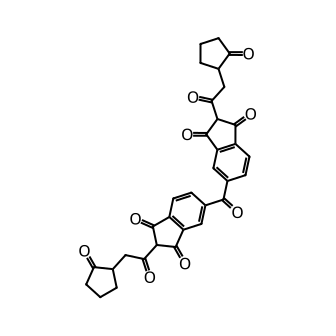 O=C(c1ccc2c(c1)C(=O)C(C(=O)CC1CCCC1=O)C2=O)c1ccc2c(c1)C(=O)C(C(=O)CC1CCCC1=O)C2=O